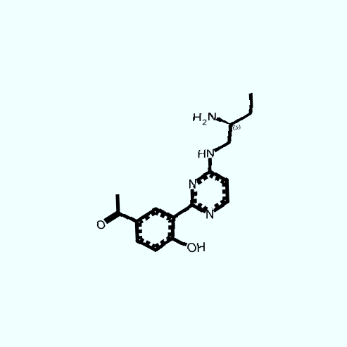 CC[C@H](N)CNc1ccnc(-c2cc(C(C)=O)ccc2O)n1